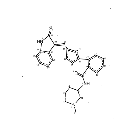 CN1CCCC(NC(=O)c2ccccc2-c2ccc(/C=C3/C(=O)Nc4ccccc43)o2)C1